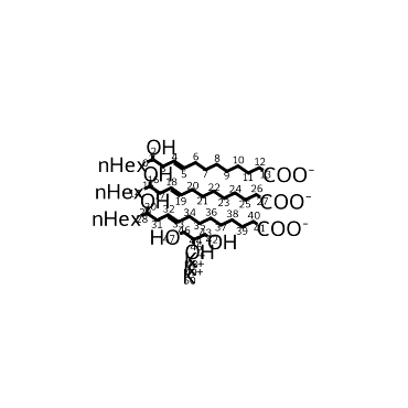 CCCCCCC(O)CC=CCCCCCCCC(=O)[O-].CCCCCCC(O)CC=CCCCCCCCC(=O)[O-].CCCCCCC(O)CC=CCCCCCCCC(=O)[O-].OCC(O)CO.[K+].[K+].[K+]